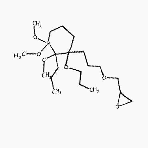 CCCOC1(CCCOCC2CO2)CCC[Si](OC)(OC)C1(CCC)OC